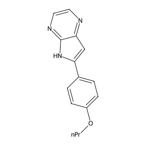 CCCOc1ccc(-c2cc3nccnc3[nH]2)cc1